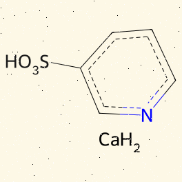 O=S(=O)(O)c1cccnc1.[CaH2]